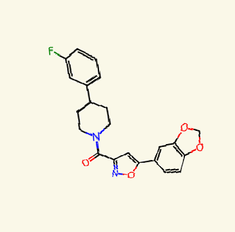 O=C(c1cc(-c2ccc3c(c2)OCO3)on1)N1CCC(c2cccc(F)c2)CC1